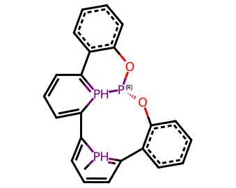 C[PH]1=C2C=CC=C1C1=CC=CC3=[PH]1[P@@](Oc1ccccc12)Oc1ccccc13